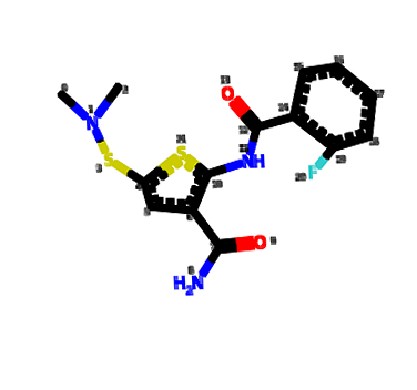 CN(C)Sc1cc(C(N)=O)c(NC(=O)c2ccccc2F)s1